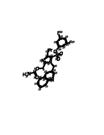 CC(C)c1nc(COC(N)=O)n(Cc2cnc3ccccc3c2)c1S(=O)(=O)Oc1cc(F)cc(F)c1